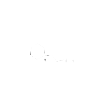 CCCCCCCP1(=S)CCCCC1